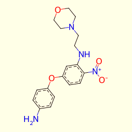 Nc1ccc(Oc2ccc([N+](=O)[O-])c(NCCN3CCOCC3)c2)cc1